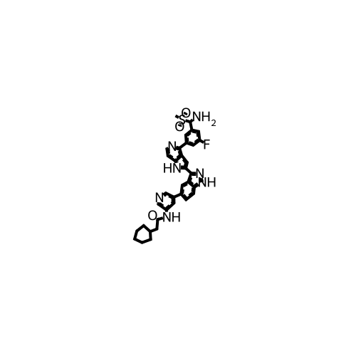 CS(=O)(=O)C(N)c1cc(F)cc(-c2nccc3[nH]c(-c4n[nH]c5ccc(-c6cncc(NC(=O)CC7CCCCC7)c6)cc45)cc23)c1